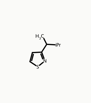 CC(C)C(C)c1ccsn1